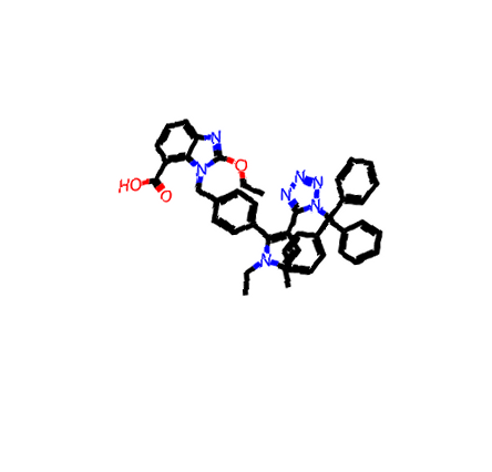 CCOc1nc2cccc(C(=O)O)c2n1Cc1ccc(-c2c(-c3nnnn3C(c3ccccc3)(c3ccccc3)c3ccccc3)cc(C)n2CC)cc1